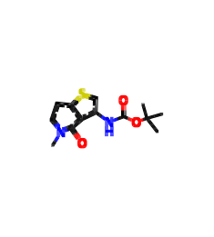 Cn1ccc2scc(NC(=O)OC(C)(C)C)c2c1=O